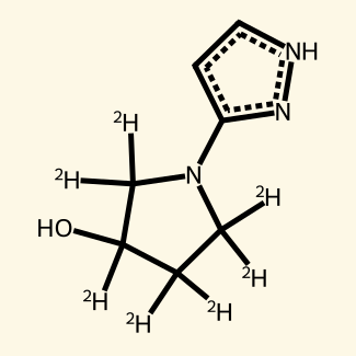 [2H]C1([2H])N(c2cc[nH]n2)C([2H])([2H])C([2H])(O)C1([2H])[2H]